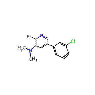 CCc1ncc(-c2cccc(Cl)c2)cc1N(C)C